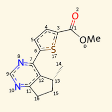 COC(=O)c1ccc(-c2ncnc3c2[C@H](C)CC3)s1